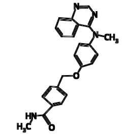 CNC(=O)c1ccc(COc2ccc(N(C)c3ncnc4ccccc34)cc2)cc1